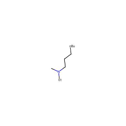 CCCC[CH]CCN(C)CC